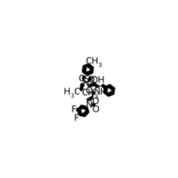 Cc1ccc(S(=O)(=O)N(CC(C)C)C[C@@H](O)[C@H](Cc2ccccc2)NC(=O)[C@@H]2CN(c3ccc(F)c(F)c3)C(=O)O2)cc1